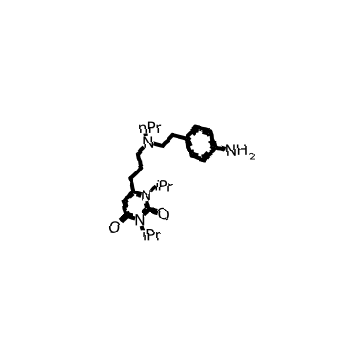 CCCN(CCCc1cc(=O)n(C(C)C)c(=O)n1C(C)C)CCc1ccc(N)cc1